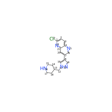 Clc1ccc2ncc(-c3cnn(CC4CCNCC4)c3)cc2n1